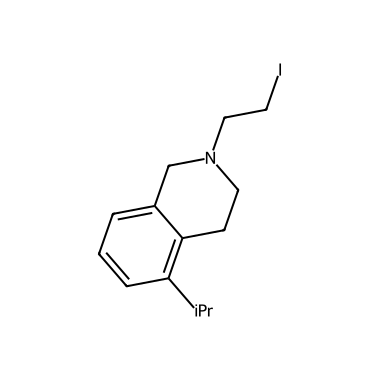 CC(C)c1cccc2c1CCN(CCI)C2